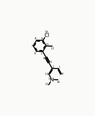 C=C/C(C#Cc1cccc(Cl)c1C)=C\N(C)C